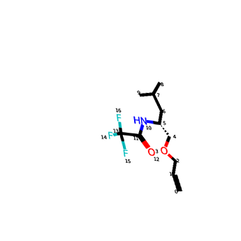 C=CCOC[C@@H](CC(C)C)NC(=O)C(F)(F)F